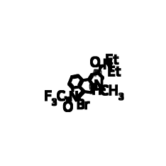 CCN(CC)C(=O)[C@@H]1C=C2c3cccc4c3c(c(Br)n4C(=O)C(F)(F)F)C[C@H]2N(C)C1